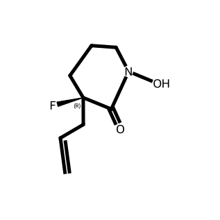 C=CC[C@]1(F)CCCN(O)C1=O